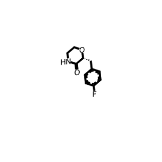 O=C1NCCO[C@@H]1Cc1ccc(F)cc1